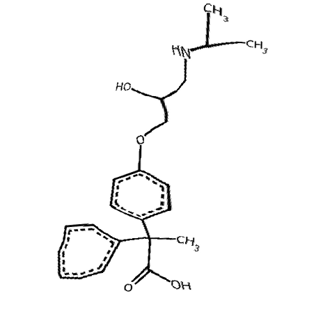 CC(C)NCC(O)COc1ccc(C(C)(C(=O)O)c2ccccc2)cc1